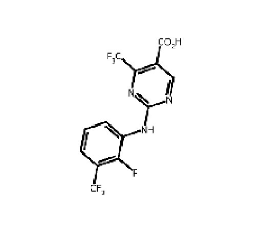 O=C(O)c1cnc(Nc2cccc(C(F)(F)F)c2F)nc1C(F)(F)F